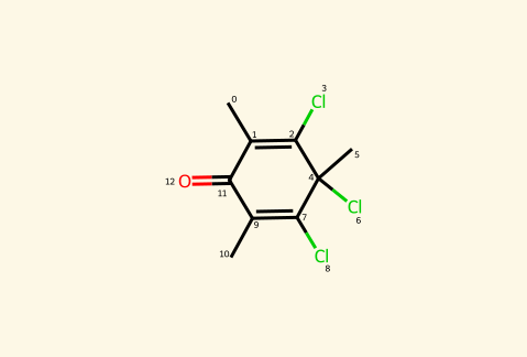 CC1=C(Cl)C(C)(Cl)C(Cl)=C(C)C1=O